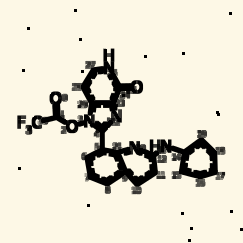 O=C(On1c(-c2cccc3ccc(Nc4ccccc4)nc23)nc2c(=O)[nH]ccc21)C(F)(F)F